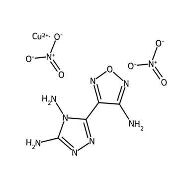 Nc1nonc1-c1nnc(N)n1N.O=[N+]([O-])[O-].O=[N+]([O-])[O-].[Cu+2]